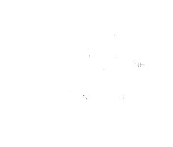 CN1C(=O)C(C(N)=O)Oc2cc[c]cc21